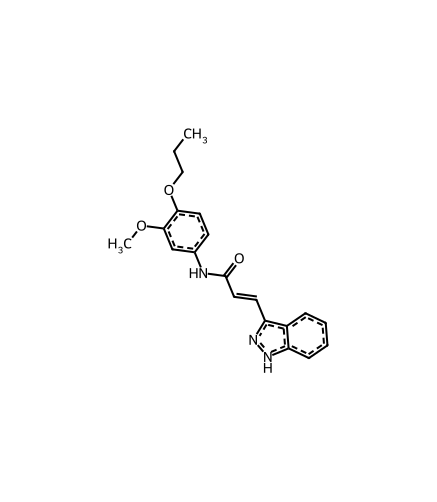 CCCOc1ccc(NC(=O)/C=C/c2n[nH]c3ccccc23)cc1OC